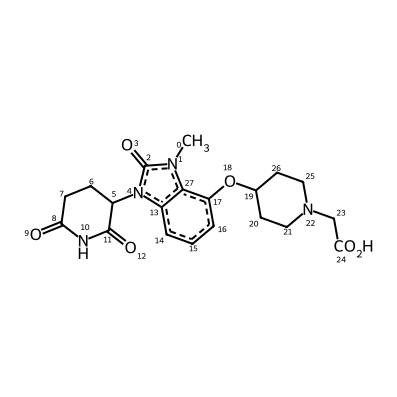 Cn1c(=O)n(C2CCC(=O)NC2=O)c2cccc(OC3CCN(CC(=O)O)CC3)c21